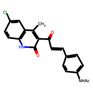 CC(=O)Nc1ccc(C=CC(=O)c2c(C)c3cc(Cl)ccc3[nH]c2=O)cc1